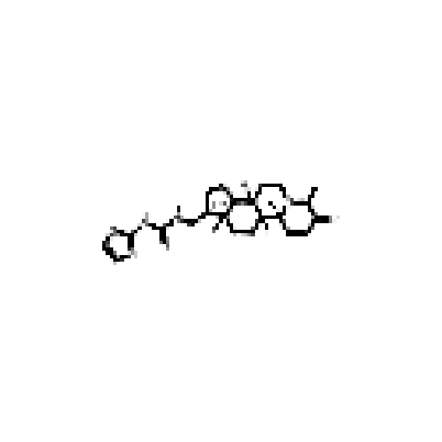 CC1C(=O)C=C[C@]2(C)[C@@H]3CC[C@]4(C)C(CNC(=O)Nc5nccs5)CC[C@H]4[C@@H]3CCN12